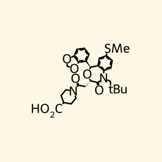 CSc1ccc2c(c1)[C@H](c1cccc3c1OCO3)O[C@@H](CC(=O)N1CCC(C(=O)O)CC1)C(=O)N2CC(C)(C)C